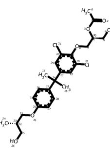 CC(=O)O[C@@H](CCl)COc1c(Cl)cc(C(C)(C)c2ccc(OC[C@@H](C)CO)cc2)cc1Cl